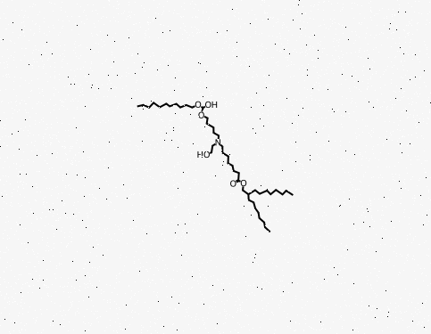 CCCCCCCCCCCOC(O)OCCCCCN(CCO)CCCCCCCC(=O)OCC(CCCCCCCC)CCCCCCCC